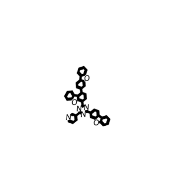 c1cncc(-c2nc(-c3ccc4c(c3)oc3ccccc34)nc(-c3ccc(-c4ccc5c(c4)oc4ccccc45)c4c3oc3ccccc34)n2)c1